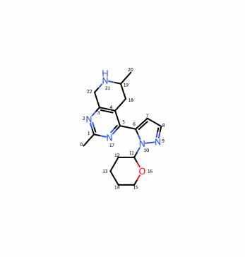 Cc1nc2c(c(-c3ccnn3C3CCCCO3)n1)CC(C)NC2